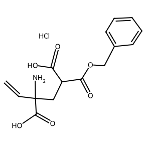 C=CC(N)(CC(C(=O)O)C(=O)OCc1ccccc1)C(=O)O.Cl